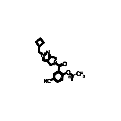 C[C@H](Oc1ccc(C#N)cc1C(=O)N1Cc2cn(CC3CCC3)nc2C1)C(F)(F)F